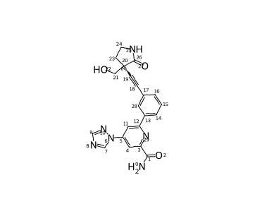 NC(=O)c1cc(-n2cncn2)cc(-c2cccc(C#C[C@@]3(CO)CCNC3=O)c2)n1